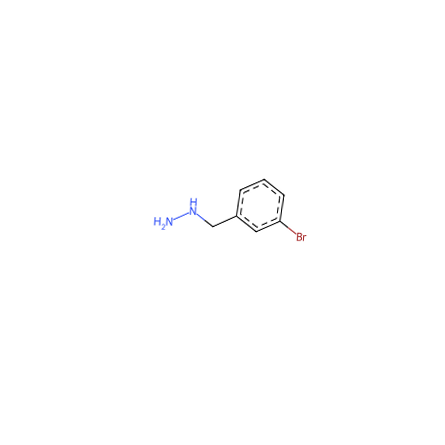 NNCc1cccc(Br)c1